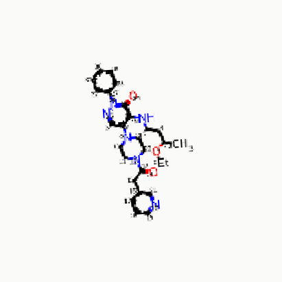 CCOC(C)CCNc1c(N2CCN(C(=O)Cc3cccnc3)CC2)cnn(-c2ccccc2)c1=O